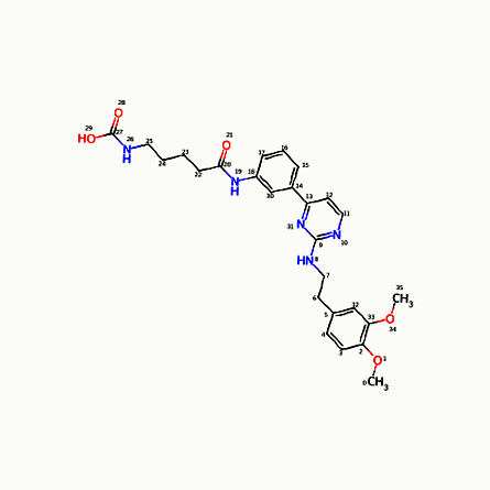 COc1ccc(CCNc2nccc(-c3cccc(NC(=O)CCCCNC(=O)O)c3)n2)cc1OC